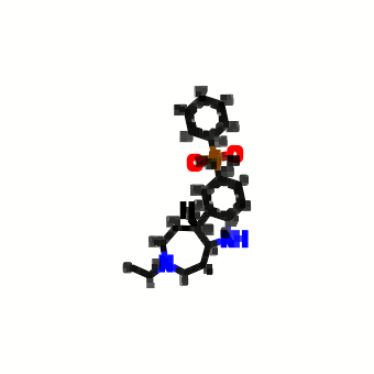 CCN1CCC2Nc3ccc(S(=O)(=O)c4ccccc4)cc3[C@H]2CC1